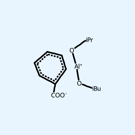 CCC(C)[O][Al+][O]C(C)C.O=C([O-])c1ccccc1